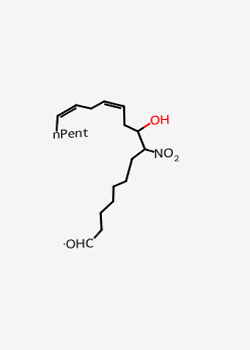 CCCCC/C=C\C/C=C\CC(O)C(CCCCCC[C]=O)[N+](=O)[O-]